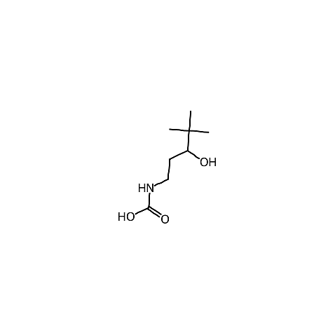 CC(C)(C)C(O)CCNC(=O)O